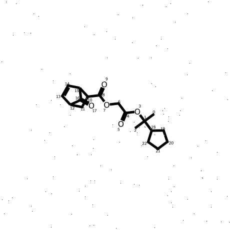 CC(C)(OC(=O)COC(=O)C1CC2C=CC1C2=O)C1CCCC1